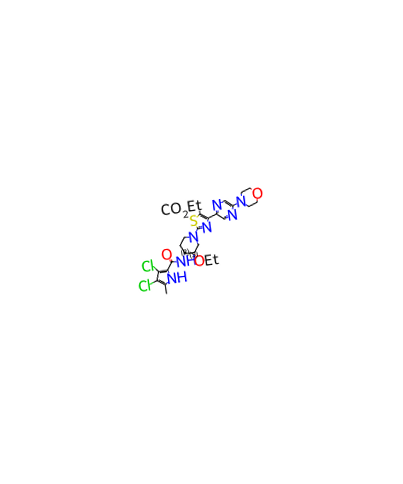 CCOC(=O)c1sc(N2CC[C@@H](NC(=O)c3[nH]c(C)c(Cl)c3Cl)[C@@H](OCC)C2)nc1-c1cnc(N2CCOCC2)cn1